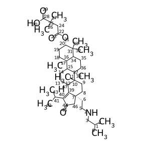 CC(C)CNCC[C@@]12CC[C@]3(C)[C@H](CCC4[C@@]5(C)CC[C@H](OC(=O)CC(C)(C)C(=O)O)C(C)(C)C5CC[C@]43C)C1=C(C(C)C)C(=O)C2